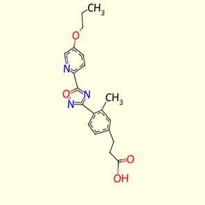 CCCOc1ccc(-c2nc(-c3ccc(CCC(=O)O)cc3C)no2)nc1